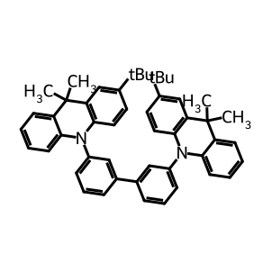 CC(C)(C)c1ccc2c(c1)C(C)(C)c1ccccc1N2c1cccc(-c2cccc(N3c4ccccc4C(C)(C)c4cc(C(C)(C)C)ccc43)c2)c1